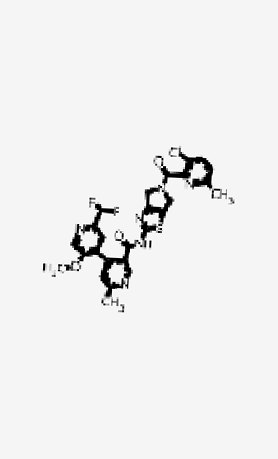 COc1cnc(C(F)F)cc1-c1cc(C)ncc1C(=O)Nc1nc2c(s1)CN(C(=O)c1nc(C)ccc1Cl)C2